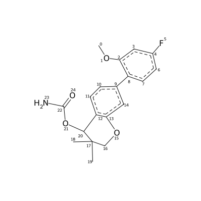 COc1cc(F)ccc1-c1ccc2c(c1)OCC(C)(C)C2OC(N)=O